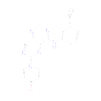 C#Cc1cccc(Nc2ncnc3cnc(N4CCC(=O)CC4)nc23)c1